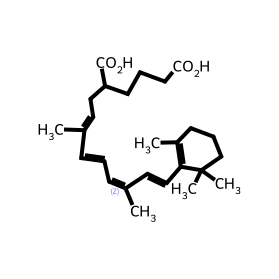 CC(C=C/C=C(/C)C=CC1=C(C)CCCC1(C)C)=CCC(CCCC(=O)O)C(=O)O